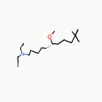 CCN(CC)CCCCC[C@@H](CCCC(C)(C)C)OC